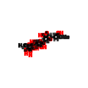 COc1ccc(-c2cc(=O)c3c(O)cc(O[C@@H]4OC[C@](O)(CO[C@@H]5OC(C)[C@H](O)[C@H](O)C5O)[C@@H](O)C4O)cc3o2)cc1O